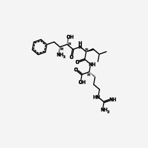 CC(C)C[C@H](NC(=O)[C@@H](O)[C@H](N)Cc1ccccc1)C(=O)N[C@H](CCCNC(=N)N)C(=O)O